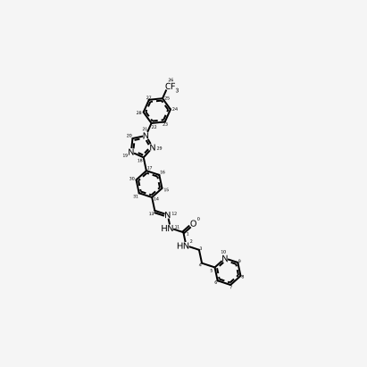 O=C(NCCc1ccccn1)N/N=C/c1ccc(-c2ncn(-c3ccc(C(F)(F)F)cc3)n2)cc1